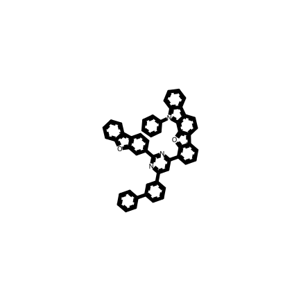 c1ccc(-c2cccc(-c3cc(-c4cccc5c4oc4c5ccc5c6ccccc6n(-c6ccccc6)c54)nc(-c4ccc5c(c4)oc4ccccc45)n3)c2)cc1